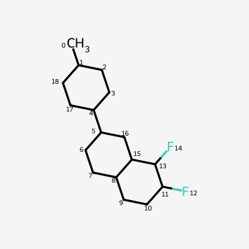 CC1CCC(C2CCC3CCC(F)C(F)C3C2)CC1